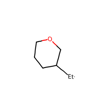 C[CH]C1CCCOC1